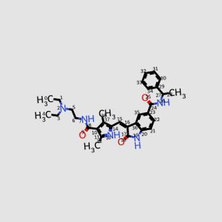 CCN(CC)CCNC(=O)c1c(C)[nH]c(C=C2C(=O)Nc3ccc(C(=O)NC(C)c4ccccc4)cc32)c1C